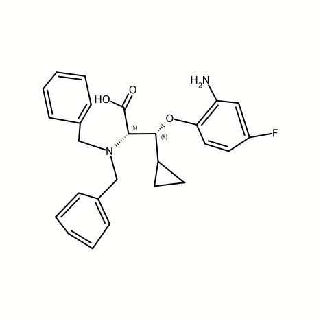 Nc1cc(F)ccc1O[C@H](C1CC1)[C@@H](C(=O)O)N(Cc1ccccc1)Cc1ccccc1